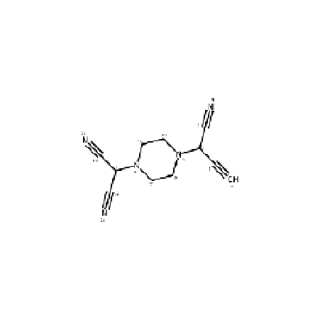 C#CC(C#N)N1CCN(C(C#N)C#N)CC1